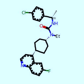 CCN(C(=O)N[C@@H](C)c1ccc(Cl)cc1)[C@H]1CC[C@@H](c2ccnc3ccc(F)cc32)CC1